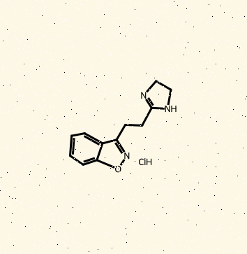 Cl.c1ccc2c(CCC3=NCCN3)noc2c1